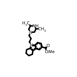 COC(=O)c1ccc2c(c1)c1c(n2CCCN2CC(C)NC(C)C2)CCCC1